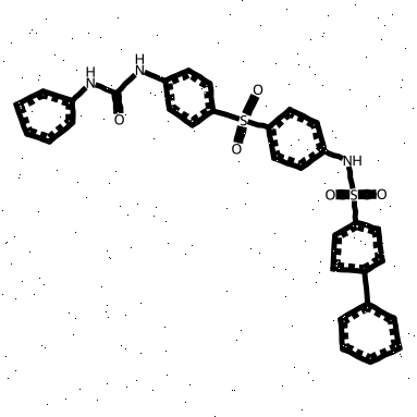 O=C(Nc1ccccc1)Nc1ccc(S(=O)(=O)c2ccc(NS(=O)(=O)c3ccc(-c4ccccc4)cc3)cc2)cc1